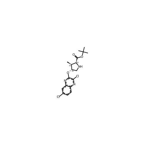 C[C@@H]1[C@@H](Oc2nc3cc(Cl)ccc3nc2Cl)CN[C@@H]1C(=O)OC(C)(C)C